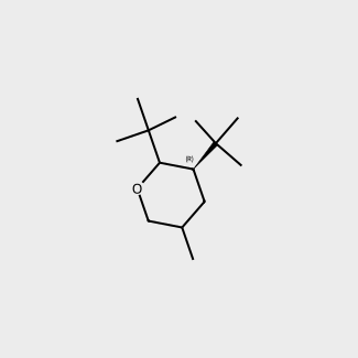 CC1COC(C(C)(C)C)[C@@H](C(C)(C)C)C1